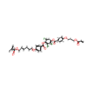 C=CC(=O)OCCCOc1ccc(C(=O)Oc2cc(F)c(OC(=O)c3ccc(OCCCCCCOC(=O)C(=C)C)cc3)c(F)c2F)cc1